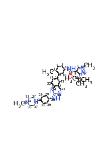 Cc1ccc(NC(=O)c2cn(C)nc2C(C)(C)C)cc1-c1ccc2nc(Nc3ccc(N4CCN(C)CC4)cc3)ncc2c1